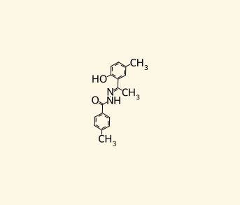 C/C(=N\NC(=O)c1ccc(C)cc1)c1cc(C)ccc1O